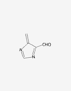 C=C1N=CN=C1C=O